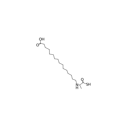 CC(NCCCCCCCCCCCCCCCC(=O)O)C(=O)S